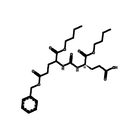 CCCCOC(=O)C(CCC(=O)OCc1ccccc1)NC(=O)N[C@@H](CCC(=O)O)C(=O)OCCCC